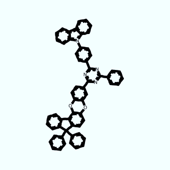 c1ccc(-c2nc(-c3ccc(-n4c5ccccc5c5ccccc54)cc3)nc(-c3ccc4c(c3)Oc3ccc5c(c3O4)-c3ccccc3C5(c3ccccc3)c3ccccc3)n2)cc1